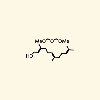 CC(C)=CCCC(C)=CCCC(C)=CCO.COCOCOC